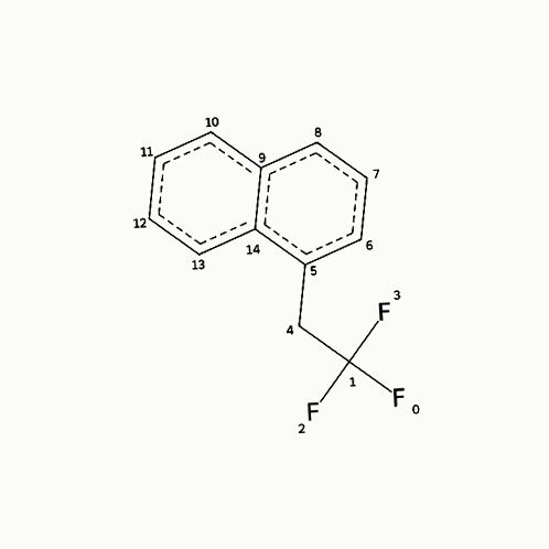 FC(F)(F)Cc1cccc2ccccc12